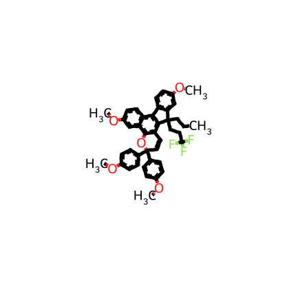 CCCC1(CCC(F)(F)F)c2cc(OC)ccc2-c2c1c1c(c3cc(OC)ccc23)OC(c2ccc(OC)cc2)(c2ccc(OC)cc2)C=C1